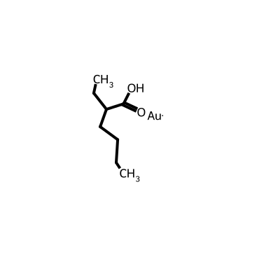 CCCCC(CC)C(=O)O.[Au]